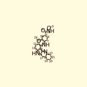 CONC(=O)c1ccc(Nc2cccc3[nH]c4cc5ccccc5nc4c23)c(OC)c1